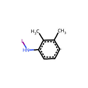 Cc1[c]ccc(NI)c1C